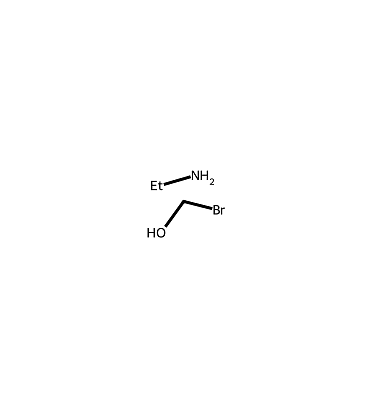 CCN.OCBr